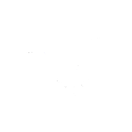 C=CC(CC/C=C/CCCCC)CC(C/C=C/C[Si](C)(N(C)C)N(C)C)c1ccccc1